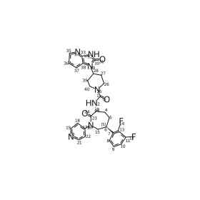 O=C(N[C@@H]1CC[C@@H](c2cccc(F)c2F)CN(c2ccncc2)C1=O)N1CCC(n2c(=O)[nH]c3ncccc32)CC1